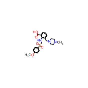 COc1ccc(S(=O)(=O)CNc2c(CN3CCN(C)CC3)cccc2C(=O)O)cc1